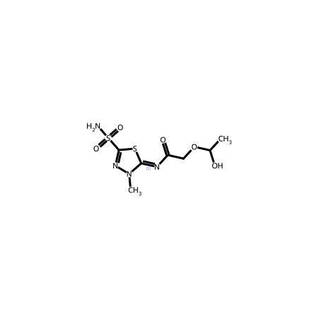 CC(O)OCC(=O)/N=c1\sc(S(N)(=O)=O)nn1C